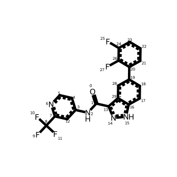 O=C(Nc1ccnc(C(F)(F)F)c1)c1n[nH]c2ccc(-c3cccc(F)c3F)cc12